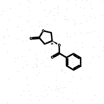 O=C1C[C@@H](OC(=O)c2ccccc2)CO1